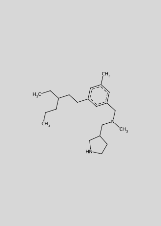 CCCC(CC)CCc1cc(C)cc(CN(C)CC2CCNC2)c1